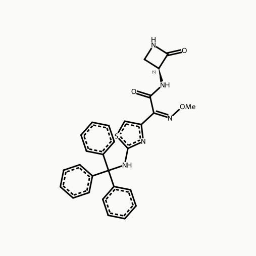 CON=C(C(=O)N[C@H]1CNC1=O)c1csc(NC(c2ccccc2)(c2ccccc2)c2ccccc2)n1